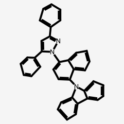 c1ccc(-c2cc(-c3ccccc3)n(-c3ccc(-n4c5ccccc5c5ccccc54)c4ccccc34)n2)cc1